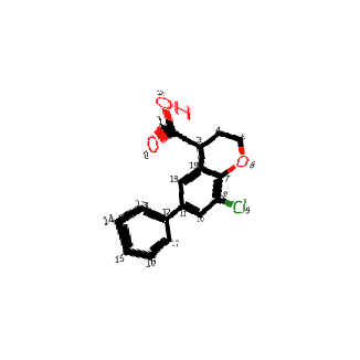 O=C(O)C1CCOc2c(Cl)cc(-c3ccccc3)cc21